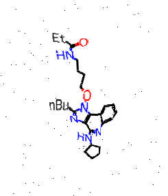 CCCCc1nc2c(NC3CCCC3)nc3ccccc3c2n1OCCCCNC(=O)CC